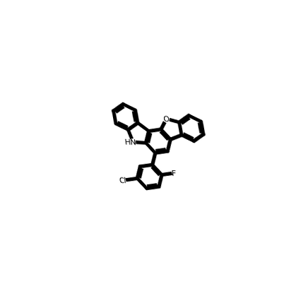 Fc1ccc(Cl)cc1-c1cc2c3ccccc3oc2c2c1[nH]c1ccccc12